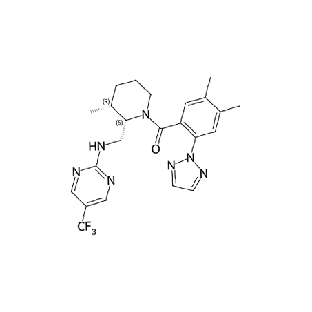 Cc1cc(C(=O)N2CCC[C@@H](C)[C@H]2CNc2ncc(C(F)(F)F)cn2)c(-n2nccn2)cc1C